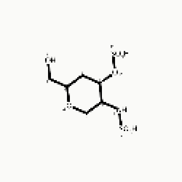 O=S(=O)(O)NC1COC(CO)C[C@H]1OS(=O)(=O)O